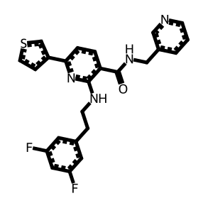 O=C(NCc1cccnc1)c1ccc(-c2ccsc2)nc1NCCc1cc(F)cc(F)c1